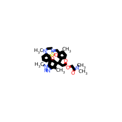 Cc1ccc(C(CC(=O)OCC(=O)N(C)C)c2ccc3c(nnn3C)c2C)cc1CN1CCN(C)c2ccccc2S1(=O)=O